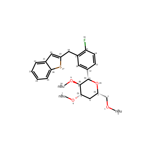 CCCCOC[C@@H]1C[C@H](OCCCC)[C@@H](OCCCC)[C@H](c2ccc(F)c(Cc3cc4ccccc4s3)c2)O1